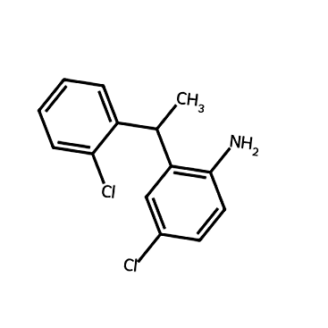 CC(c1cc(Cl)ccc1N)c1ccccc1Cl